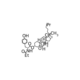 CCC(=O)N[C@@H](Cc1ccc(O)cc1)C(=O)O[C@H]1CC[C@]2(C)[C@H]3CC[C@]4(C)[C@@H]([C@H](C)CCCC(C)C)CC[C@H]4[C@@H]3C[C@@H]3OC32C1